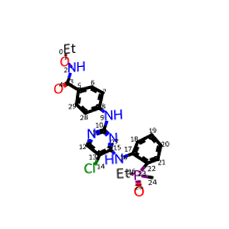 CCONC(=O)c1ccc(Nc2ncc(Cl)c(Nc3ccccc3P(C)(=O)CC)n2)cc1